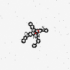 c1ccc(-c2cccc(-c3nc(-c4ccc5sc6ccccc6c5c4)nc(-c4cc5c(cc4-n4c6ccccc6c6cc7ccccc7cc64)oc4cc6ccccc6cc45)n3)c2)cc1